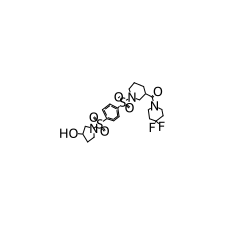 O=C(C1CCCN(S(=O)(=O)c2ccc(S(=O)(=O)N3CCC(O)C3)cc2)C1)N1CCC(F)(F)CC1